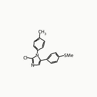 CSc1ccc(-c2cnc(Cl)n2-c2ccc(C)cc2)cc1